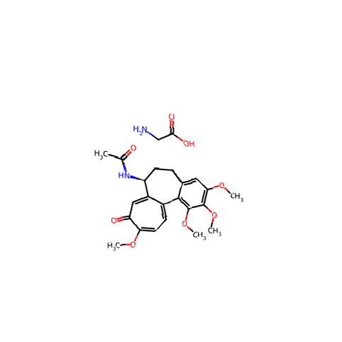 COc1cc2c(c(OC)c1OC)-c1ccc(OC)c(=O)cc1[C@@H](NC(C)=O)CC2.NCC(=O)O